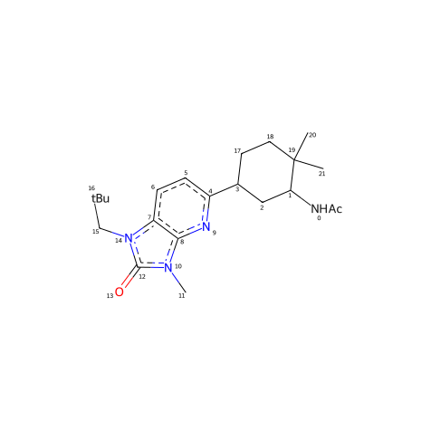 CC(=O)NC1CC(c2ccc3c(n2)n(C)c(=O)n3CC(C)(C)C)CCC1(C)C